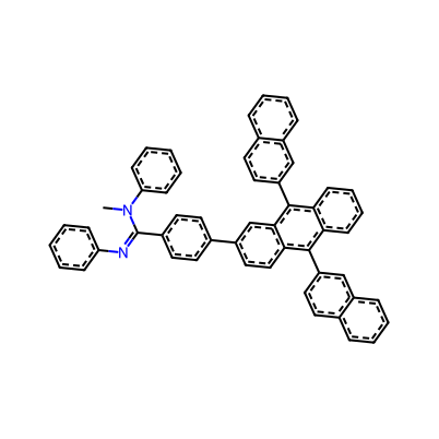 CN(/C(=N\c1ccccc1)c1ccc(-c2ccc3c(-c4ccc5ccccc5c4)c4ccccc4c(-c4ccc5ccccc5c4)c3c2)cc1)c1ccccc1